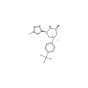 C[C@H]1C[C@@](C)(c2ccc(C(F)(F)F)cc2)C[C@@H](c2cn(C)nn2)N1